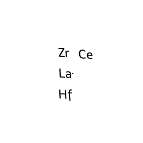 [Ce].[Hf].[La].[Zr]